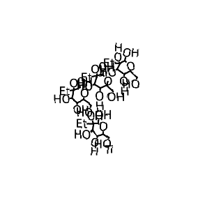 CCC1(O)C(O)OC(CO)C(O)C1O.CCC1(O)C(O)OC(CO)C(O)C1O.CCC1(O)C(O)OC(CO)C(O)C1O.CCC1(O)C(O)OC(CO)C(O)C1O.[Ti]